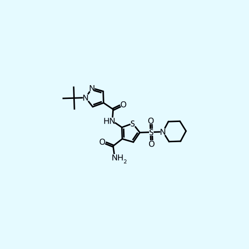 CC(C)(C)n1cc(C(=O)Nc2sc(S(=O)(=O)N3CCCCC3)cc2C(N)=O)cn1